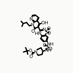 CC(C)CCn1c(=O)c(C2=NS(=O)(=O)c3cc(NS(=O)(=O)NC4CCN(C(=O)OC(C)(C)C)CC4)ccc3N2)c(O)c2cccnc21